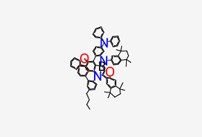 CCCCc1ccc(N2c3cc4c(oc5ccccc54)c4c3B(c3oc5cc6c(cc5c32)C(C)(C)CCC6(C)C)N(c2ccc3c(c2)C(C)(C)CCC3(C)C)c2cc(N(c3ccccc3)c3ccccc3)ccc2-4)c(-c2ccccc2)c1